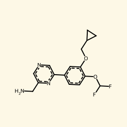 NCc1cncc(-c2ccc(OC(F)F)c(OCC3CC3)c2)n1